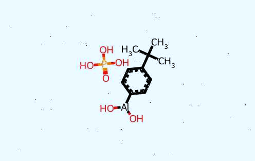 CC(C)(C)c1cc[c]([Al]([OH])[OH])cc1.O=P(O)(O)O